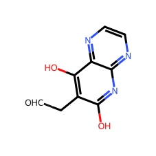 O=CCc1c(O)nc2nccnc2c1O